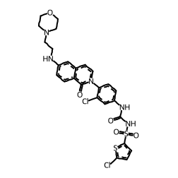 O=C(Nc1ccc(-n2ccc3cc(NCCN4CCOCC4)ccc3c2=O)c(Cl)c1)NS(=O)(=O)c1ccc(Cl)s1